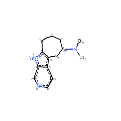 CN(C)[C@@H]1CCCc2[nH]c3cnccc3c2C1